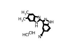 Cc1cc2nc(-c3n[nH]c4ccc(C#N)cc34)[nH]c2cc1C.Cl.Cl